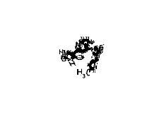 Cc1ccc(O[C@@H]2CN(c3cc(-c4c[nH]c(=O)[nH]c4=O)nn4ccnc34)CC2(F)F)nc1